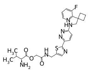 CC(C)[C@H](N)C(=O)OCC(=O)NCc1cnc(-c2ccc(NCC3(c4ncccc4F)CCC3)nn2)s1